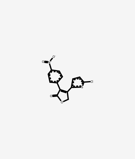 O=C1OCC(c2ccc(Cl)s2)=C1c1ccc([N+](=O)[O-])cc1